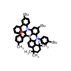 Cc1ccc2sc3c(c2c1)B1c2ccc4c(c2N(c2ccc(C(C)(C)C)cc2)c2cc(C(C)(C)C)cc(c21)N3c1ccc(C(C)(C)C)cc1-c1ccccc1)C(C)(C)CCC4(C)C